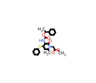 COC(=O)Cn1c(C)cc(Sc2ccccc2)c(NC(=O)OC(C)c2ccccc2)c1=O